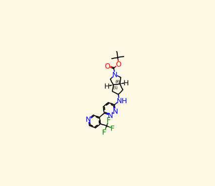 CC(C)(C)OC(=O)N1C[C@H]2CC(Nc3ccc(-c4cnccc4C(F)(F)F)nn3)C[C@H]2C1